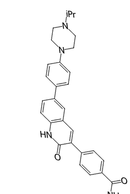 CC(C)N1CCN(c2ccc(-c3ccc4[nH]c(=O)c(-c5ccc(C(N)=O)cc5)cc4c3)cc2)CC1